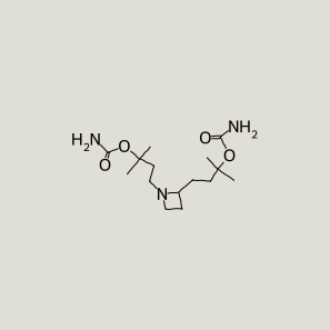 CC(C)(CCC1CCN1CCC(C)(C)OC(N)=O)OC(N)=O